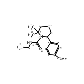 COc1ccc(C2COCC(C)(C)N2C(=O)NCC(F)(F)F)cc1